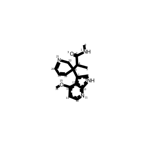 CNC(=O)C(C)C1(c2c[nH]c3nccc(OC)c23)C=CC=NC1